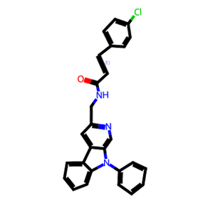 O=C(/C=C/c1ccc(Cl)cc1)NCc1cc2c3ccccc3n(-c3ccccc3)c2cn1